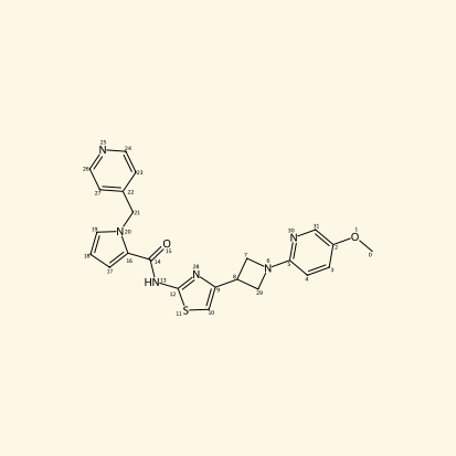 COc1ccc(N2CC(c3csc(NC(=O)c4cccn4Cc4ccncc4)n3)C2)nc1